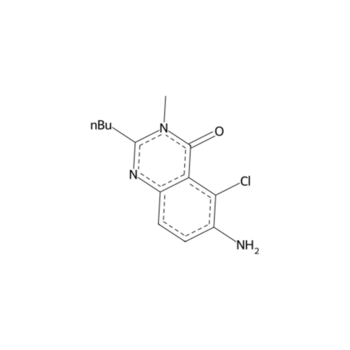 CCCCc1nc2ccc(N)c(Cl)c2c(=O)n1C